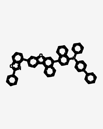 c1ccc(-c2ccc(N(c3ccccc3)c3ccc(-c4cc5oc6cc(-c7cccc8oc(-c9ccccc9)nc78)ccc6c5c5ccccc45)c4ccccc34)cc2)cc1